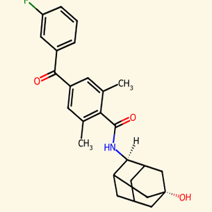 Cc1cc(C(=O)c2cccc(F)c2)cc(C)c1C(=O)N[C@H]1C2CC3CC1C[C@](O)(C3)C2